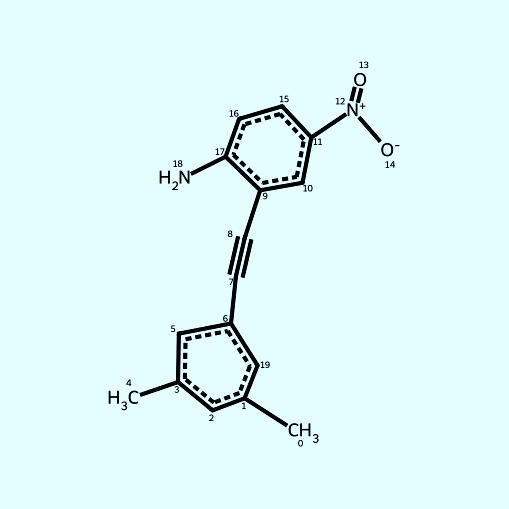 Cc1cc(C)cc(C#Cc2cc([N+](=O)[O-])ccc2N)c1